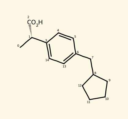 C[C@H](C(=O)O)c1ccc(CC2CCCC2)cc1